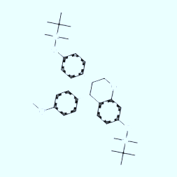 COc1ccc([C@H]2c3ccc(O[Si](C)(C)C(C)(C)C)cc3OC[C@H]2c2ccc(O[Si](C)(C)C(C)(C)C)cc2)cc1